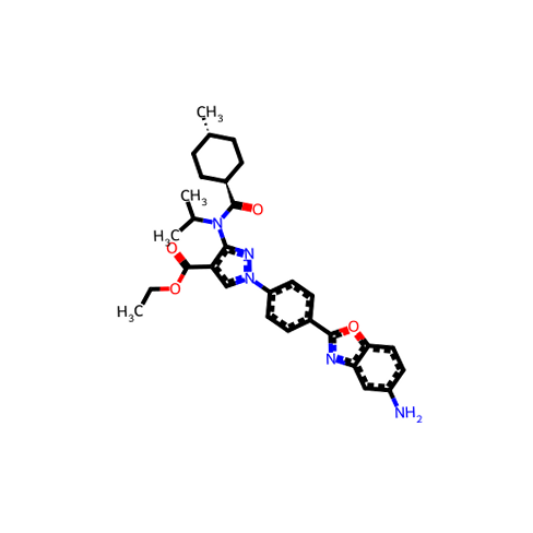 CCOC(=O)c1cn(-c2ccc(-c3nc4cc(N)ccc4o3)cc2)nc1N(C(=O)[C@H]1CC[C@H](C)CC1)C(C)C